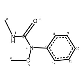 CNC(=O)N(OC)c1ccccc1